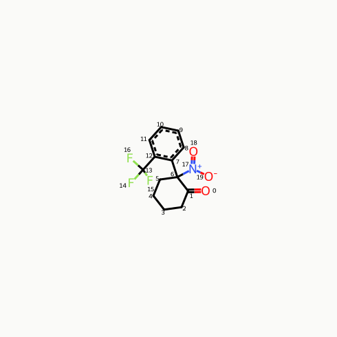 O=C1CCCCC1(c1ccccc1C(F)(F)F)[N+](=O)[O-]